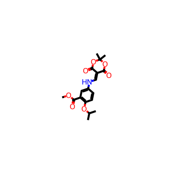 COC(=O)c1cc(NC=C2C(=O)OC(C)(C)OC2=O)ccc1OC(C)C